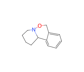 c1ccc2c(c1)CON1CCCCC21